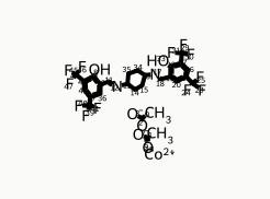 CC(=O)[O-].CC(=O)[O-].Oc1c(C=NC2CCC(N=Cc3cc(C(F)(F)F)cc(C(F)(F)F)c3O)CC2)cc(C(F)(F)F)cc1C(F)(F)F.[Co+2]